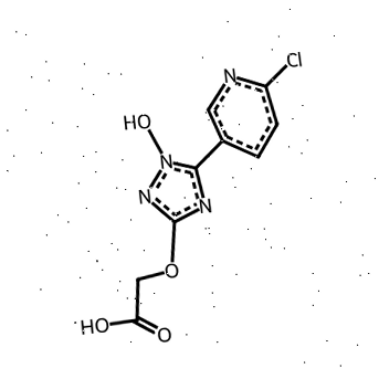 O=C(O)COc1nc(-c2ccc(Cl)nc2)n(O)n1